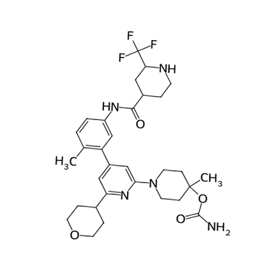 Cc1ccc(NC(=O)C2CCNC(C(F)(F)F)C2)cc1-c1cc(C2CCOCC2)nc(N2CCC(C)(OC(N)=O)CC2)c1